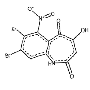 O=c1cc(O)c(=O)c2c([N+](=O)[O-])c(Br)c(Br)cc2[nH]1